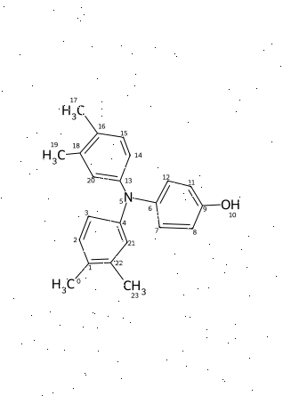 Cc1ccc(N(c2ccc(O)cc2)c2ccc(C)c(C)c2)cc1C